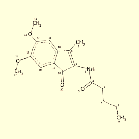 CCCCC(=O)NC1=C(C)c2cc(OC)c(OC)cc2C1=O